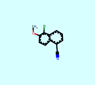 COc1ccc2c(C#N)cccc2c1Br